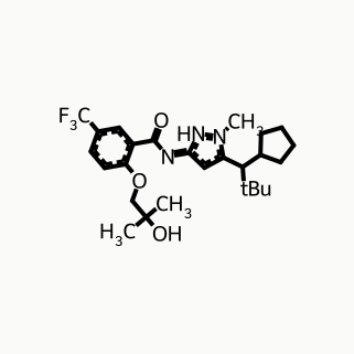 Cn1[nH]c(=NC(=O)c2cc(C(F)(F)F)ccc2OCC(C)(C)O)cc1C(C1CCCC1)C(C)(C)C